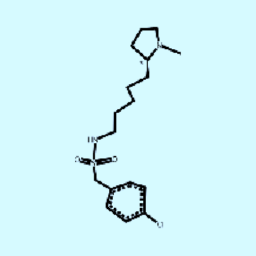 CN1CCC[C@@H]1CCCCCNS(=O)(=O)Cc1ccc(Cl)cc1